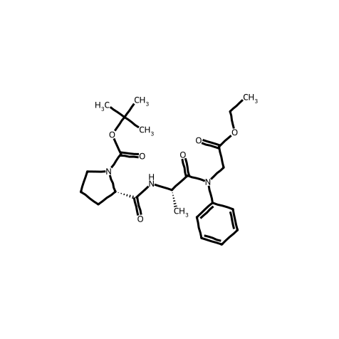 CCOC(=O)CN(C(=O)[C@H](C)NC(=O)[C@@H]1CCCN1C(=O)OC(C)(C)C)c1ccccc1